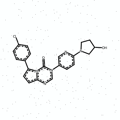 O=c1n(-c2ccc(N3CCC(O)C3)nc2)cnc2ccc(-c3ccc(Cl)cc3)n12